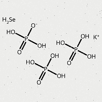 O=P(O)(O)O.O=P(O)(O)O.O=P([O-])(O)O.[K+].[SeH2]